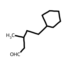 CC(CC=O)CCC1CCCCC1